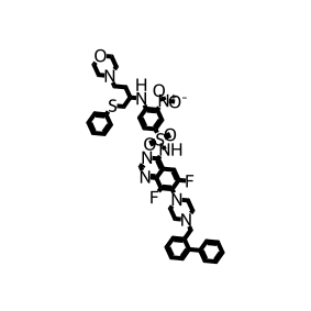 O=[N+]([O-])c1cc(S(=O)(=O)Nc2ncnc3c(F)c(N4CCN(Cc5ccccc5-c5ccccc5)CC4)c(F)cc23)ccc1NC(CCN1CCOCC1)CSc1ccccc1